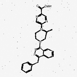 COC(=O)c1cnc(N2CCN(c3nnc(Cc4ccccc4)c4ccccc34)CC2C)cn1